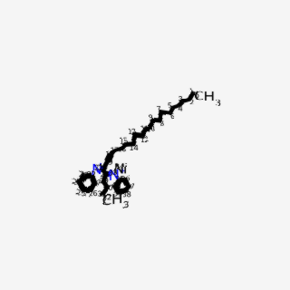 CCCCCCCCCCCCCCCCCCC#CC(=Nc1ccccc1)C(CCCC)=[N+]([Ni])c1ccccc1